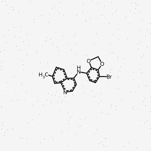 Cc1ccc2c(Nc3ccc(Br)c4c3OCO4)ccnc2c1